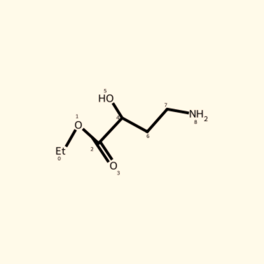 CCOC(=O)C(O)CCN